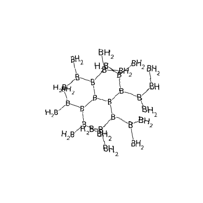 BBB(B)B(B(B)B)B(B(B(B)B)B(B)B)B(B(B(B)B)B(B)B)B(B(B)B)B(B)B